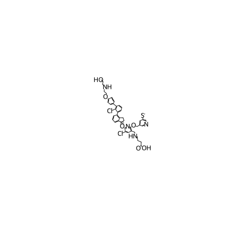 CSc1cncc(COc2nc(O[C@H]3CCc4c(-c5cccc(-c6ccc(OCCNCCO)cc6)c5Cl)cccc43)c(Cl)cc2CNCCCC(=O)O)c1